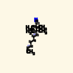 C/C=C/CC/C=C/C(C)(C)C(C)(C)C#N